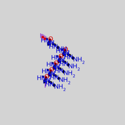 CNC(=O)/C(=N/CCNCCN)[N+](C)(C)C.CNC(=O)/C(=N/CCNCCN)[N+](C)(C)C.CNC(=O)/C(=N/CCNCCN)[N+](C)(C)C.CNC(=O)/C(=N/CCNCCN)[N+](C)(C)C.CNC(=O)/C(=N/CCNCCN)[N+](C)(C)C.CNC(=O)/C(=N/CCNCCN)[N+](C)(C)C.[I-].[I-].[I-].[I-].[I-].[I-]